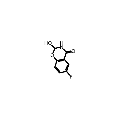 O=C1NC(O)Oc2ccc(F)cc21